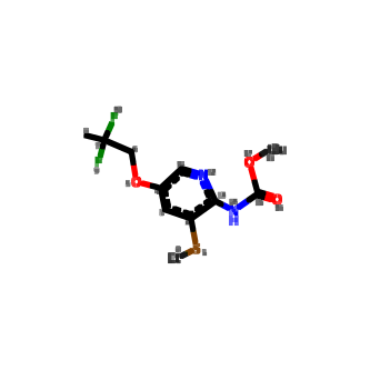 CCSc1cc(OCC(C)(F)F)cnc1NC(=O)OC(C)(C)C